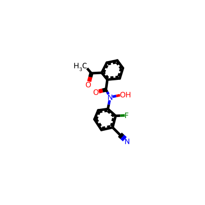 CC(=O)c1ccccc1C(=O)N(O)c1cccc(C#N)c1F